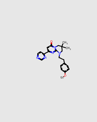 CCOc1ccc(CCN2CC(C)(C)Cn3c2nc(-c2ccncn2)cc3=O)cc1